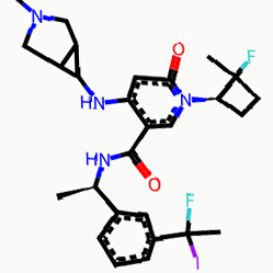 C[C@@H](NC(=O)c1cn([C@@H]2CCC2(C)F)c(=O)cc1NC1C2CN(C)CC21)c1cccc(C(C)(F)I)c1